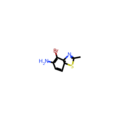 Cc1nc2c(Br)c(N)ccc2s1